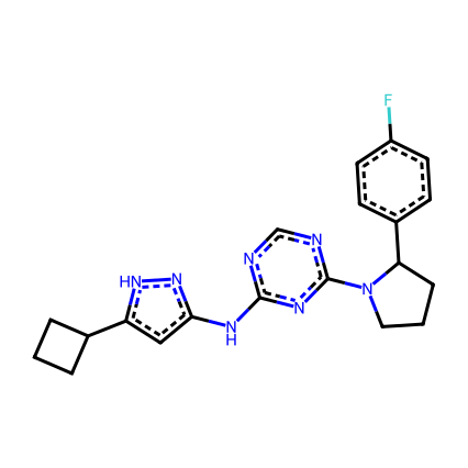 Fc1ccc(C2CCCN2c2ncnc(Nc3cc(C4CCC4)[nH]n3)n2)cc1